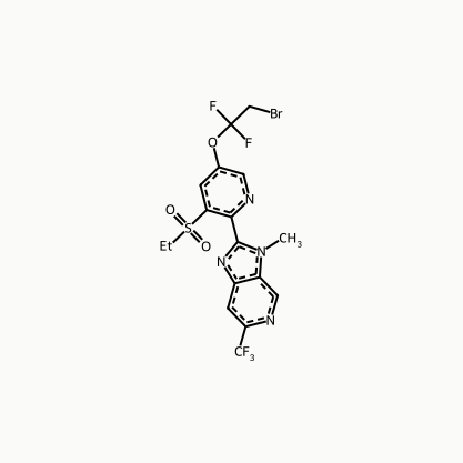 CCS(=O)(=O)c1cc(OC(F)(F)CBr)cnc1-c1nc2cc(C(F)(F)F)ncc2n1C